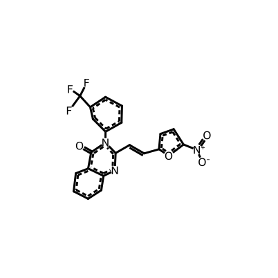 O=c1c2ccccc2nc(C=Cc2ccc([N+](=O)[O-])o2)n1-c1cccc(C(F)(F)F)c1